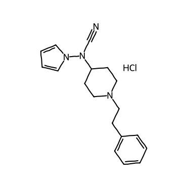 Cl.N#CN(C1CCN(CCc2ccccc2)CC1)n1cccc1